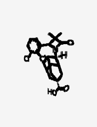 CC1(C)C(=O)N([C@H]2C3CC4CC2C[C@](C(=O)O)(C4)C3)C1c1cccc(Cl)c1Cl